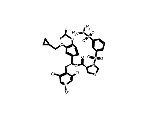 CN(C)S(=O)(=O)c1cccc(S(=O)(=O)N2CSC[C@H]2C(=O)O[C@@H](Cc2c(Cl)c[n+]([O-])cc2Cl)c2ccc(OC(F)F)c(OCC3CC3)c2)c1